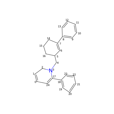 C1=CCN(CC2C=C(c3ccccc3)CCC2)C(c2ccccc2)=C1